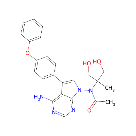 CC(=O)N(n1cc(-c2ccc(Oc3ccccc3)cc2)c2c(N)ncnc21)C(C)(CO)CO